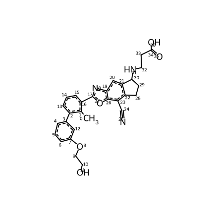 Cc1c(-c2cccc(OCCO)c2)cccc1-c1nc2cc3c(c(C#N)c2o1)CCC3NCCC(=O)O